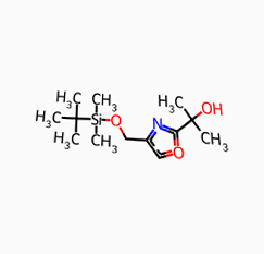 CC(C)(O)c1nc(CO[Si](C)(C)C(C)(C)C)co1